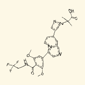 COc1cc(-c2cnc3cc(-c4cnn(C(C)(C)C(=O)O)c4)ccn23)cc(OC)c1C(=O)NCC(F)(F)F